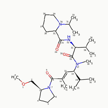 COC[C@@H]1CCCN1C(=O)/C(C)=C/[C@H](C(C)C)N(C)C(=O)[C@@H](NC(=O)C1CCCCN1C(C)C)C(C)C